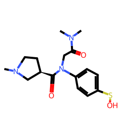 CN1CC[C@@H](C(=O)N(CC(=O)N(C)C)c2ccc(SO)cc2)C1